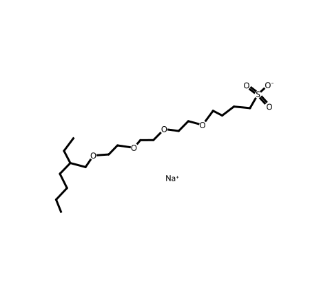 CCCCC(CC)COCCOCCOCCOCCCCS(=O)(=O)[O-].[Na+]